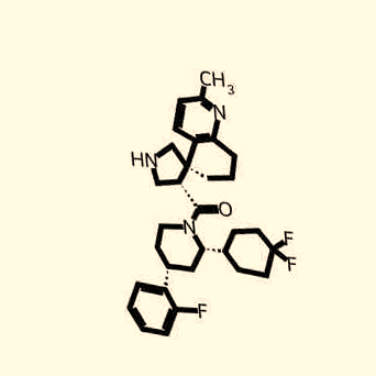 Cc1ccc2c(n1)CCC[C@]21CNC[C@H]1C(=O)N1CC[C@@H](c2ccccc2F)C[C@H]1C1CCC(F)(F)CC1